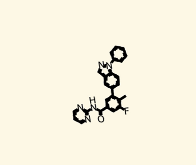 Cc1c(F)cc(C(=O)Nc2ncccn2)cc1-c1ccc2c(cnn2-c2ccccc2)c1